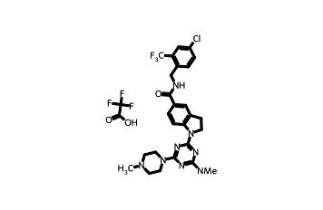 CNc1nc(N2CCN(C)CC2)nc(N2CCc3cc(C(=O)NCc4ccc(Cl)cc4C(F)(F)F)ccc32)n1.O=C(O)C(F)(F)F